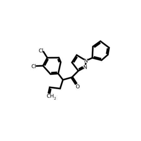 C=CCC(C(=O)c1ccn(-c2ccccc2)n1)c1ccc(Cl)c(Cl)c1